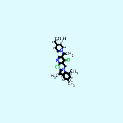 C=C(c1cnc(Cl)c(Cn2cc(C)c3cc(C(F)(F)F)cc(C)c32)c1Cl)N1CCC(CC(=O)O)CC1